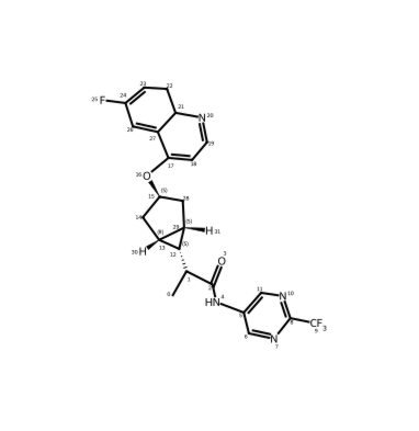 CC(C(=O)Nc1cnc(C(F)(F)F)nc1)[C@@H]1[C@@H]2C[C@@H](OC3=CC=NC4CC=C(F)C=C34)C[C@@H]21